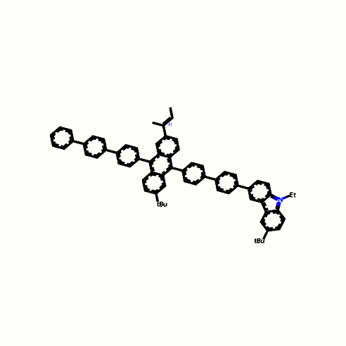 C/C=C(\C)c1ccc2c(-c3ccc(-c4ccc(-c5ccc6c(c5)c5cc(C(C)(C)C)ccc5n6CC)cc4)cc3)c3cc(C(C)(C)C)ccc3c(-c3ccc(-c4ccc(-c5ccccc5)cc4)cc3)c2c1